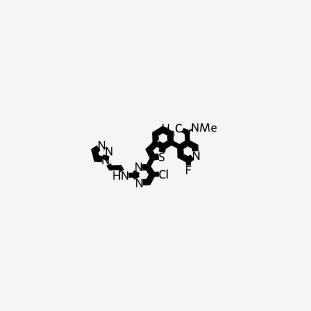 CN[C@@H](C)c1cnc(F)cc1-c1cccc2cc(-c3nc(NCCn4ccnn4)ncc3Cl)sc12